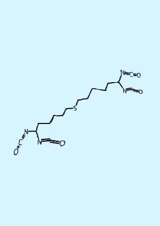 O=C=NC(CCCCCSCCCCCC(N=C=O)N=C=O)N=C=O